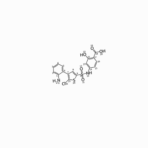 Nc1ccccc1-c1cc(S(=O)(=O)Nc2ccc(C(=O)O)c(O)c2)sc1Cl